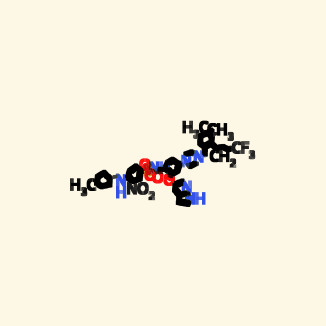 C=C(CCC(F)(F)F)C1=C(CN2CCN(c3ccc(C(=O)NS(=O)(=O)c4ccc(NC[C@H]5CC[C@@H](C)CC5)c([N+](=O)[O-])c4)c(Oc4cnc5[nH]ccc5c4)c3)CC2)CCC(C)(C)C1